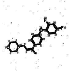 C/C(=C/CN1CCOCC1)c1ccc(Oc2ccc(F)cc2F)cc1